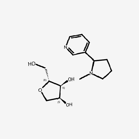 CN1CCCC1c1cccnc1.OC[C@H]1OC[C@H](O)[C@@H]1O